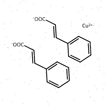 O=C([O-])C=Cc1ccccc1.O=C([O-])C=Cc1ccccc1.[Cu+2]